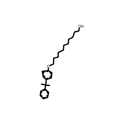 CC(C)(c1ccccc1)c1ccc(OCCCCCCCCCCCO)cc1